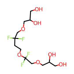 OCC(O)COCC(F)(F)CCOC(F)(F)COCC(O)CO